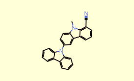 Cn1c2ccc(-n3c4ccccc4c4ccccc43)cc2c2cccc(C#N)c21